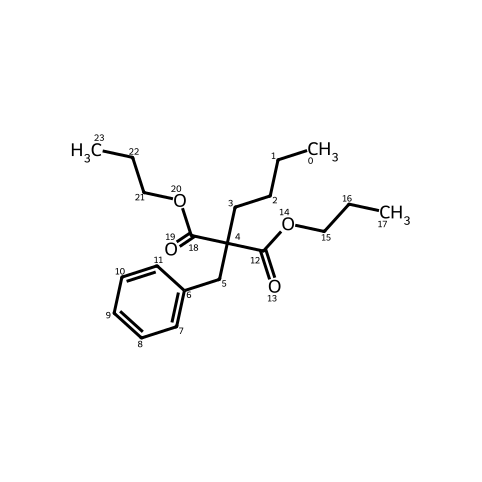 CCCCC(Cc1ccccc1)(C(=O)OCCC)C(=O)OCCC